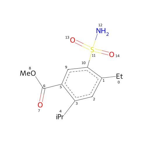 CCc1cc(C(C)C)c(C(=O)OC)cc1S(N)(=O)=O